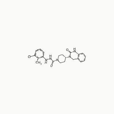 Cc1c(Cl)cccc1NNC(=O)N1CCC(N2Cc3ccccc3NC2=O)CC1